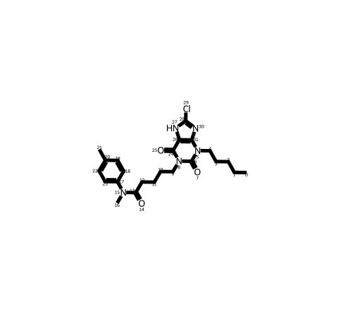 CCCCCn1c(=O)n(CCCCC(=O)N(C)c2ccc(C)cc2)c(=O)c2[nH]c(Cl)nc21